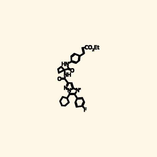 CCOC(=O)/C=C/c1ccc(NC(=O)C2(NC(=O)c3cc4n(C)c(-c5ccc(F)cc5)c(C5CCCCC5)n4n3)CCC2)cc1